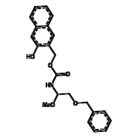 COC(COCc1ccccc1)NC(=O)OCc1cc2ccccc2cc1O